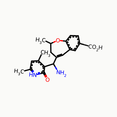 Cc1cc(C)c(C(N)C2=Cc3cc(C(=O)O)ccc3OC(C)C2)c(=O)[nH]1